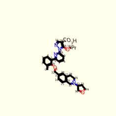 Cc1cccc(-c2cccc(-n3ncc(C(=O)O)c3OC(C)C)n2)c1OCc1ccc2c(c1)CCN(C1CCOC1)C2